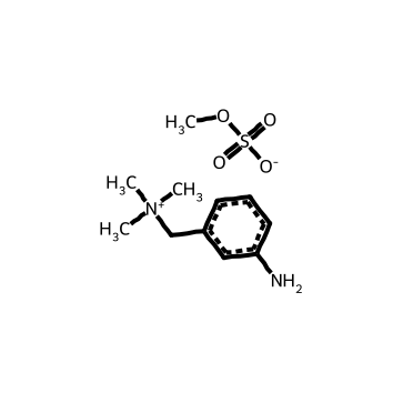 COS(=O)(=O)[O-].C[N+](C)(C)Cc1cccc(N)c1